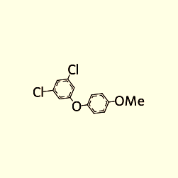 COc1ccc(Oc2cc(Cl)cc(Cl)c2)cc1